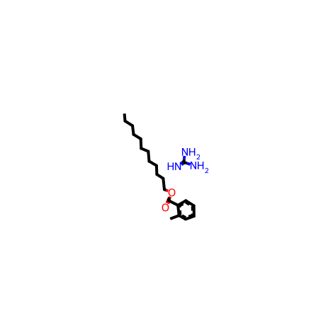 CCCCCCCCCCCCOC(=O)c1ccccc1C.N=C(N)N